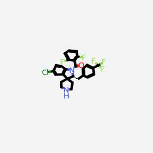 O=C(c1c(F)cccc1F)N1c2ccc(Cl)cc2C2(CCNCC2)[C@H]1Cc1ccc(C(F)(F)F)cc1